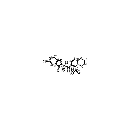 Cc1c(S(=O)(=O)Nc2ccc3c(c2C(=O)O)CCCC3)sc2ccc(Cl)cc12